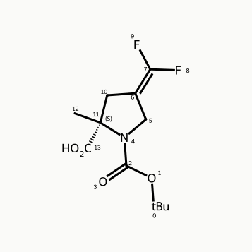 CC(C)(C)OC(=O)N1CC(=C(F)F)C[C@@]1(C)C(=O)O